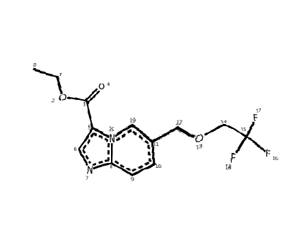 CCOC(=O)c1cnc2ccc(COCC(F)(F)F)cn12